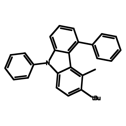 Cc1c(C(C)(C)C)ccc2c1c1c(-c3ccccc3)cccc1n2-c1ccccc1